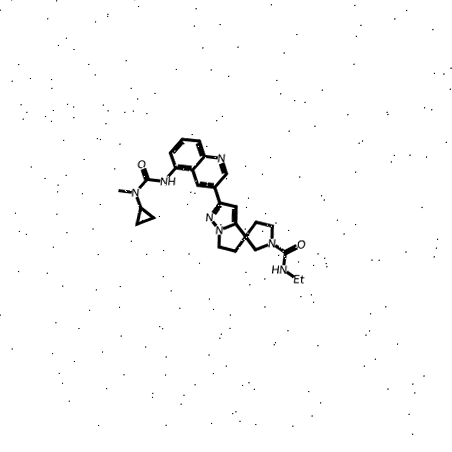 CCNC(=O)N1CCC2(CCn3nc(-c4cnc5cccc(NC(=O)N(C)C6CC6)c5c4)cc32)C1